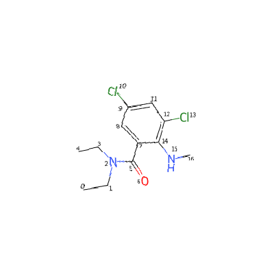 CCN(CC)C(=O)c1cc(Cl)cc(Cl)c1NC